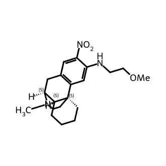 COCCNc1cc2c(cc1[N+](=O)[O-])C[C@H]1[C@H]3CCCC[C@@]23CCN1C